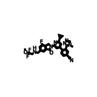 COC(F)(F)CNCc1cc(F)c2c(c1)C(=O)N(c1cc(-c3ccc(C#N)cc3-c3nncn3C)cc(C3CC3)n1)C2